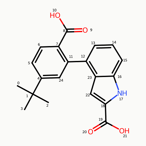 CC(C)(C)c1ccc(C(=O)O)c(-c2cccc3[nH]c(C(=O)O)cc23)c1